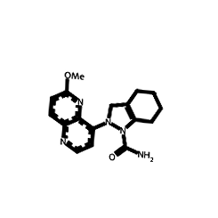 COc1ccc2nccc(N3CC4=C(CC[CH]C4)N3C(N)=O)c2n1